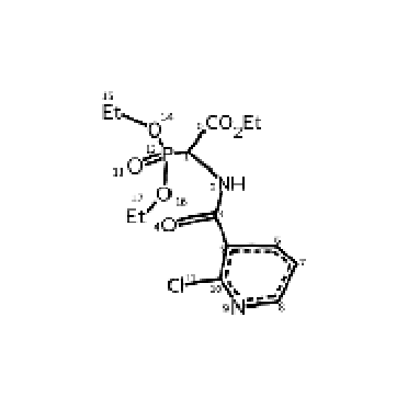 CCOC(=O)C(NC(=O)c1cccnc1Cl)P(=O)(OCC)OCC